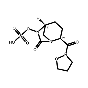 O=C([C@@H]1CC[C@@H]2CN1C(=O)N2OS(=O)(=O)O)N1CCCO1